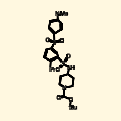 CNc1ccc(S(=O)(=O)c2ccc(C(C)C)c(S(=O)(=O)NC3CCN(C(=O)OC(C)(C)C)CC3)c2)cc1